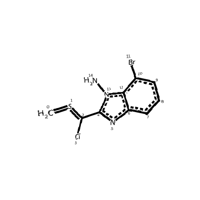 C=S=C(Cl)c1nc2cccc(Br)c2n1N